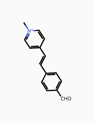 C[n+]1ccc(C=Cc2ccc(C=O)cc2)cc1